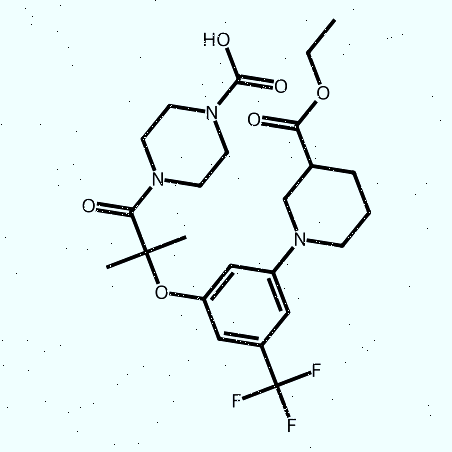 CCOC(=O)C1CCCN(c2cc(OC(C)(C)C(=O)N3CCN(C(=O)O)CC3)cc(C(F)(F)F)c2)C1